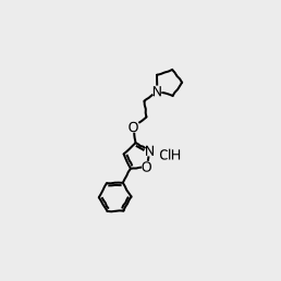 Cl.c1ccc(-c2cc(OCCN3CCCC3)no2)cc1